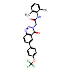 Cc1cccc(C)c1NC(=O)Cn1nnc2ccc(-c3ccc(OC(F)(F)F)cc3)cc2c1=O